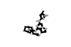 Cc1cc(Nc2cn3nccc3c(NC3CC4CCC(C3)N4CCC#N)n2)n[nH]1